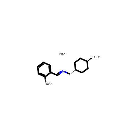 COc1ccccc1C=NC[C@H]1CC[C@H](C(=O)[O-])CC1.[Na+]